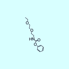 CCOCCOCCNC(=O)Oc1ccccc1